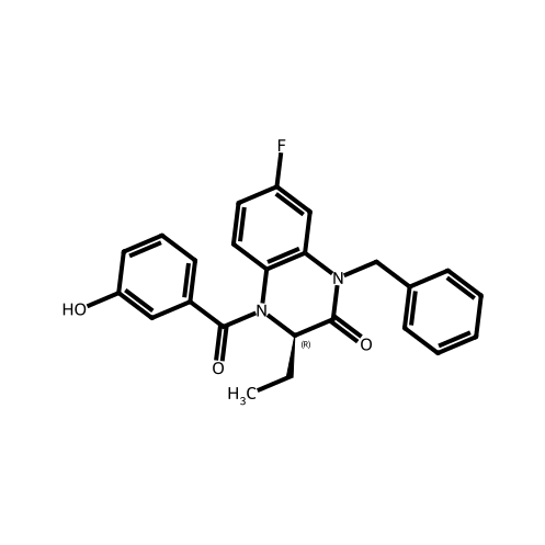 CC[C@@H]1C(=O)N(Cc2ccccc2)c2cc(F)ccc2N1C(=O)c1cccc(O)c1